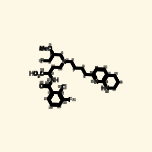 COC(CF)CN(CCCCc1ccc2c(n1)NCCC2)CCC(NC(=O)c1cccc(F)c1Cl)C(=O)O